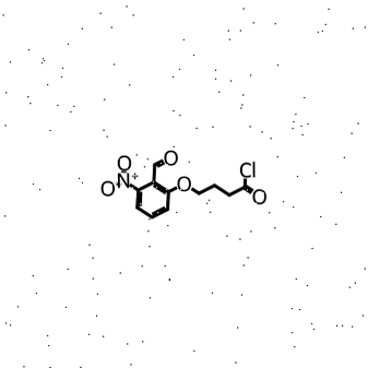 O=Cc1c(OCCCC(=O)Cl)cccc1[N+](=O)[O-]